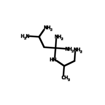 CC(CN)NC(N)(N)CC(N)N